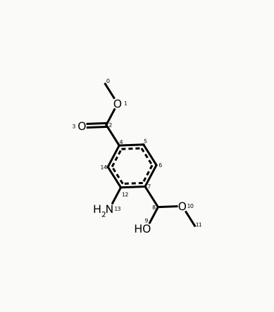 COC(=O)c1ccc(C(O)OC)c(N)c1